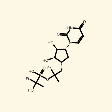 CCC(C)(C[C@H]1C[C@@H](n2ccc(=O)[nH]c2=O)[C@H](O)[C@@H]1O)OP(=O)(O)C(C)(O)CC